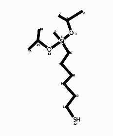 CC(C)O[Si](C)(CCCCCCS)OC(C)C